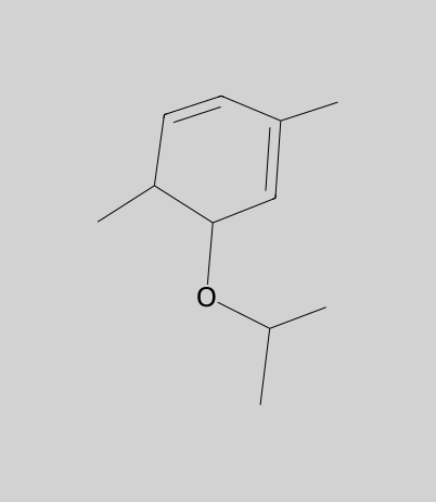 CC1=CC(OC(C)C)C(C)C=C1